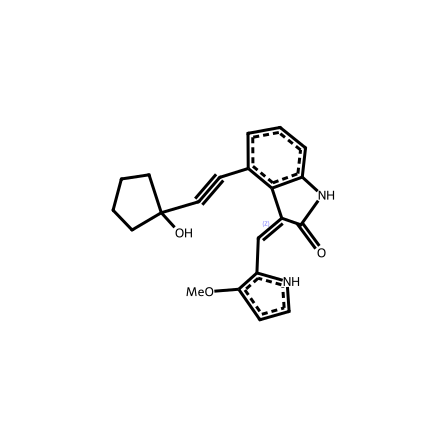 COc1cc[nH]c1/C=C1\C(=O)Nc2cccc(C#CC3(O)CCCC3)c21